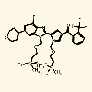 C[Si](C)(C)CCOCn1cc(C(=O)c2ccccc2C(F)(F)F)cc1-c1nc2c(F)cc(C3CCOCC3)cc2n1COCC[Si](C)(C)C